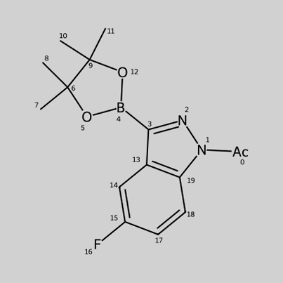 CC(=O)n1nc(B2OC(C)(C)C(C)(C)O2)c2cc(F)ccc21